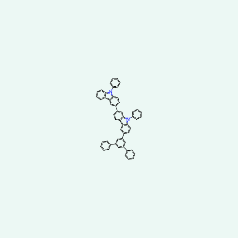 c1ccc(-c2cc(-c3ccccc3)cc(-c3ccc4c(c3)c3ccc(-c5ccc6c(c5)c5ccccc5n6-c5ccccc5)cc3n4-c3ccccc3)c2)cc1